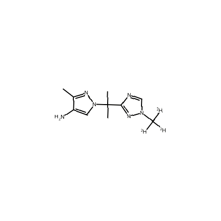 [2H]C([2H])([2H])n1cnc(C(C)(C)n2cc(N)c(C)n2)n1